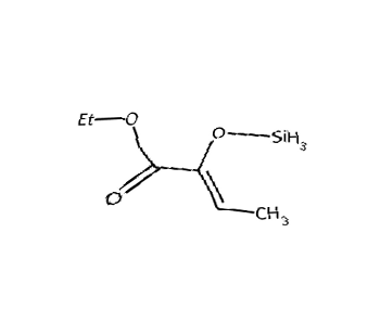 CC=C(O[SiH3])C(=O)OCC